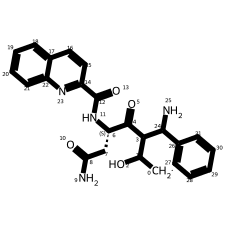 [CH2]C(O)C(C(=O)[C@H](CC(N)=O)NC(=O)c1ccc2ccccc2n1)C(N)c1ccccc1